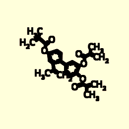 C=C(C)C(=O)Oc1ccc(-c2ccc(OC(=O)C(=C)C)c(OC(=O)C(=C)C)c2)c(C(=C)C)c1